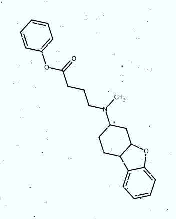 CN(CCCC(=O)Oc1ccccc1)C1CCC2c3ccccc3OC2C1